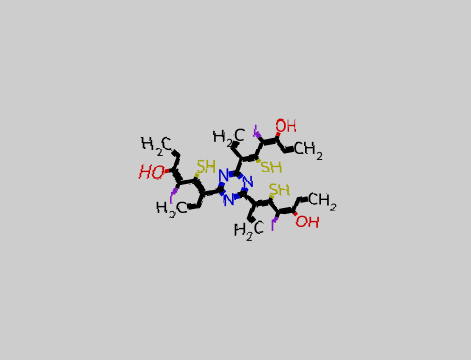 C=C/C(O)=C(I)\C(S)=C(/C=C)c1nc(/C(C=C)=C(S)/C(I)=C(/O)C=C)nc(/C(C=C)=C(S)/C(I)=C(/O)C=C)n1